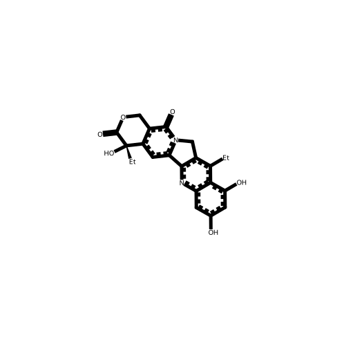 CCc1c2c(nc3cc(O)cc(O)c13)-c1cc3c(c(=O)n1C2)COC(=O)[C@]3(O)CC